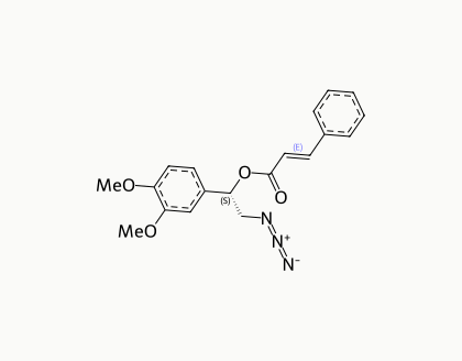 COc1ccc([C@@H](CN=[N+]=[N-])OC(=O)/C=C/c2ccccc2)cc1OC